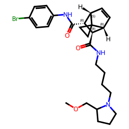 COCC1CCCN1CCCCNC(=O)[C@H]1[C@H](C(=O)Nc2ccc(Br)cc2)[C@@H]2C=C[C@H]1C21CC1